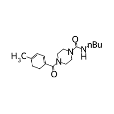 CCCCNC(=O)N1CCN(C(=O)C2=CC=C(C)CC2)CC1